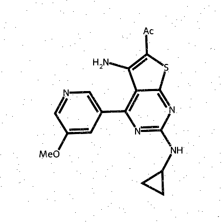 COc1cncc(-c2nc(NC3CC3)nc3sc(C(C)=O)c(N)c23)c1